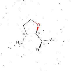 CC[C@H](C(C)=O)[C@@H]1OCC[C@H]1C